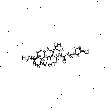 COCC1C(=O)N(Cc2ccc3c(N)ncnc3c2)C(C)CN1C(=O)COc1ccc(Cl)s1